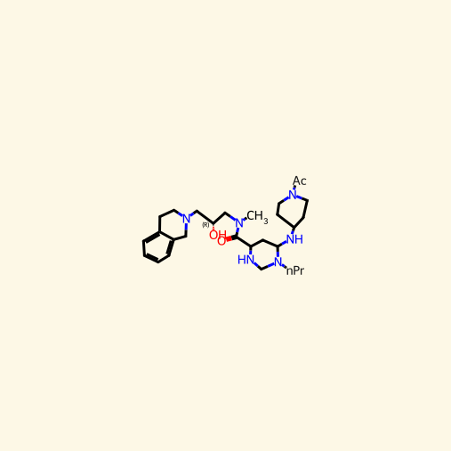 CCCN1CNC(C(=O)N(C)C[C@H](O)CN2CCc3ccccc3C2)CC1NC1CCN(C(C)=O)CC1